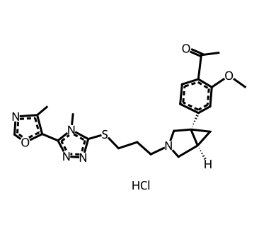 COc1cc([C@]23C[C@H]2CN(CCCSc2nnc(-c4ocnc4C)n2C)C3)ccc1C(C)=O.Cl